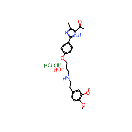 COc1ccc(CCNC[C@H](O)COc2ccc(-c3nc(C)c(C(C)=O)[nH]3)cc2)cc1OC.Cl.Cl